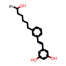 CC(C)C(O)CCCCCc1cccc(/C=C/c2cc(O)cc(O)c2)c1